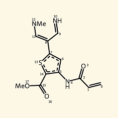 C=CC(=O)Nc1cc(/C(C=N)=C/NC)sc1C(=O)OC